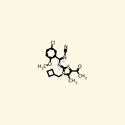 COc1ccc(Cl)cc1C(/N=c1\sc(C(C)=O)c(C)n1CC1CCC1)=N\C#N